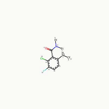 CCN(CC)C(=O)c1c([SiH2]C(F)(F)F)ccc(F)c1Cl